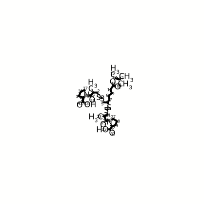 CC(CSSCC(CCCCC(=O)OC(C)C(C)C)SSCC(C)C(=O)N1CCCC1C(=O)O)C(=O)N1CCCC1C(=O)O